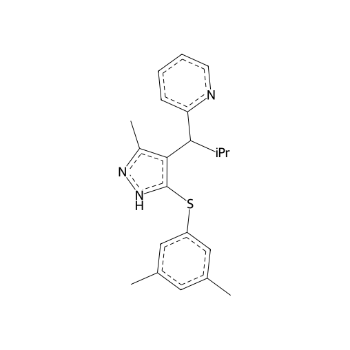 Cc1cc(C)cc(Sc2[nH]nc(C)c2C(c2ccccn2)C(C)C)c1